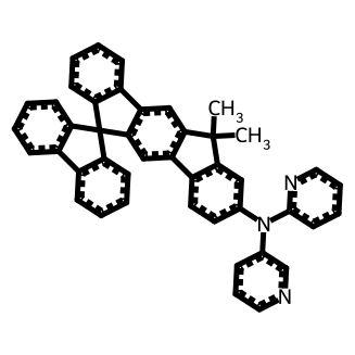 CC1(C)c2cc(N(c3cccnc3)c3ccccn3)ccc2-c2cc3c(cc21)-c1ccccc1C31c2ccccc2-c2ccccc21